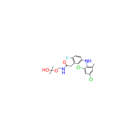 Cc1cc(Cl)cc(Cl)c1Nc1ccc(F)c(CC(=O)NCOC(C)(C)O)c1